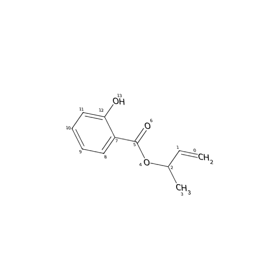 C=CC(C)OC(=O)c1ccccc1O